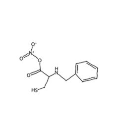 O=C(O[N+](=O)[O-])C(CS)NCc1ccccc1